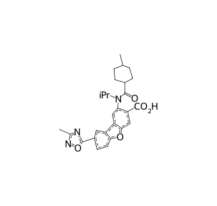 Cc1noc(-c2ccc3oc4cc(C(=O)O)c(N(C(=O)C5CCC(C)CC5)C(C)C)cc4c3c2)n1